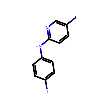 Ic1ccc(Nc2ccc(I)cn2)cc1